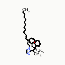 CCCCCCCCCCCCCCCn1ccnc1C(C)C(C)(Cc1ccccc1)c1ccccc1